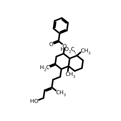 C=C1CC(OC(=O)c2ccccc2)C2C(C)(CCC[C@@]2(C)C(=O)O)C1CC/C(C)=C/CO